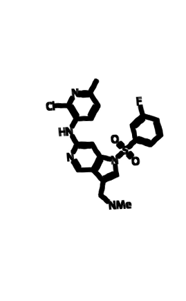 CNCc1cn(S(=O)(=O)c2cccc(F)c2)c2cc(Nc3ccc(C)nc3Cl)ncc12